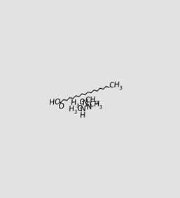 CCCCCCCCCCCCCCCCCC(=O)O.CN=C(NC)N(C)C